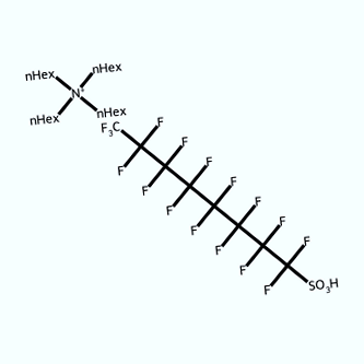 CCCCCC[N+](CCCCCC)(CCCCCC)CCCCCC.O=S(=O)(O)C(F)(F)C(F)(F)C(F)(F)C(F)(F)C(F)(F)C(F)(F)C(F)(F)C(F)(F)F